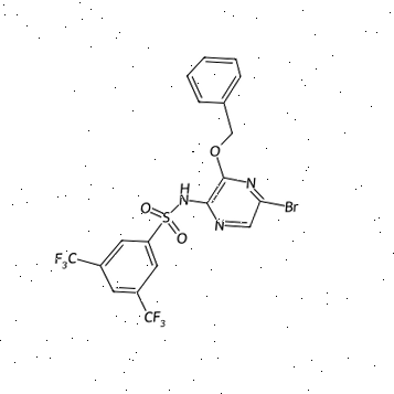 O=S(=O)(Nc1ncc(Br)nc1OCc1ccccc1)c1cc(C(F)(F)F)cc(C(F)(F)F)c1